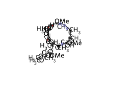 CO[C@H]1C[C@@H]2CC[C@@H](C)[C@@](O)(O2)C(=O)C(=O)N2CCCC[C@H]2C(=O)O[C@H]([C@H](C)C[C@@H]2CC[C@@H](OC(=O)C3(C)COC(C)(C)OC3)[C@H](OC)C2)CC(=O)[C@H](C)/C=C(\C)[C@@H](O)[C@@H](OC)C(=O)[C@H](C)CC[C@H](C)/C=C/C=C/C=C/1C